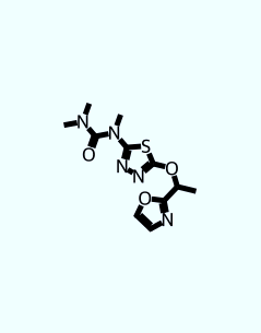 CC(Oc1nnc(N(C)C(=O)N(C)C)s1)c1ncco1